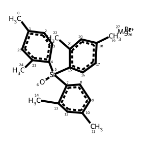 Cc1ccc([Si]([O-])(c2ccc(C)cc2C)c2ccc(C)cc2C)c(C)c1.[Br-].[Mg+2]